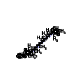 CC1=C(/C=C/C(C)=C/C=C/C(C)=C/C=C/C=C(C)/C=C/C=C(C)/C=C/C2=C(C)C(=O)C(OC(=O)N3CCOCC3)CC2(C)C)C(C)(C)CC(C)C1=O